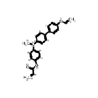 C=COc1ccc(-c2ccc(N(C)c3ccc(OC(=O)C=C)cc3)cc2)cc1